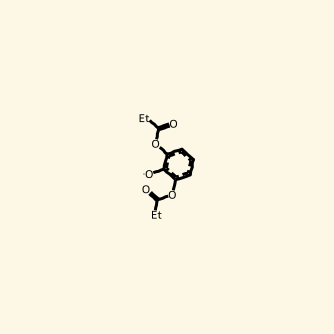 CCC(=O)Oc1cccc(OC(=O)CC)c1[O]